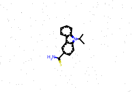 CC(C)n1c2ccccc2c2cc(C(N)=S)ccc21